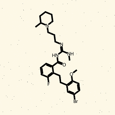 CN/C(=N/CCCN1CCCCC1C)NC(=O)c1cccc(F)c1CCc1cc(Br)ccc1OC